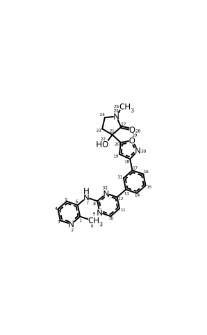 Cc1ncccc1Nc1nccc(-c2cccc(-c3cc(C4(O)CCN(C)C4=O)on3)c2)n1